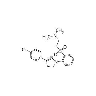 CN(C)CCS(=O)(=O)c1ccccc1N1CCC(c2ccc(Cl)cc2)=N1